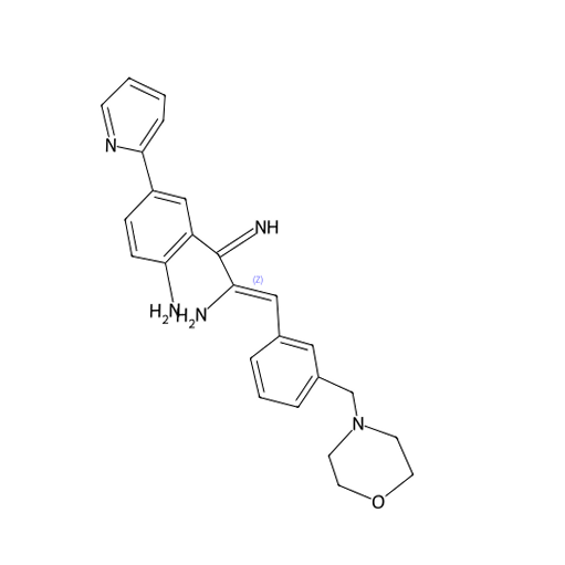 N=C(/C(N)=C/c1cccc(CN2CCOCC2)c1)c1cc(-c2ccccn2)ccc1N